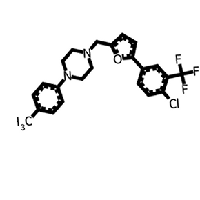 Cc1ccc(N2CCN(Cc3ccc(-c4ccc(Cl)c(C(F)(F)F)c4)o3)CC2)cc1